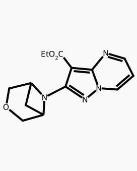 CCOC(=O)c1c(N2C3COCC2C3)nn2cccnc12